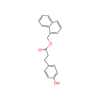 O=C(CCc1ccc(O)cc1)OCc1cccc2ccccc12